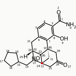 NC(=O)c1ccc2c(c1O)[C@]13CCC(CC4CCCC4)[C@H](C2)[C@]1(O)CCC(=O)C3